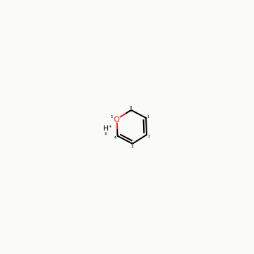 [CH]1C=CC=CO1.[H+]